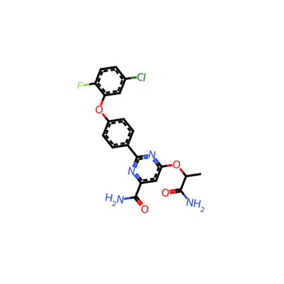 CC(Oc1cc(C(N)=O)nc(-c2ccc(Oc3cc(Cl)ccc3F)cc2)n1)C(N)=O